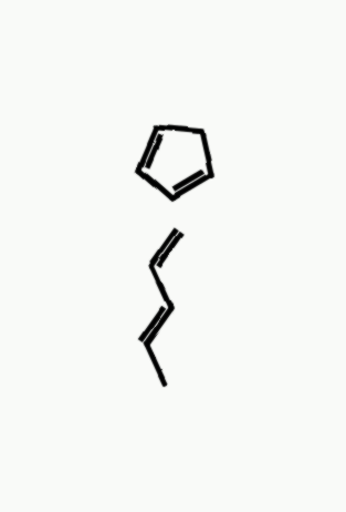 C1=CCC=C1.C=C/C=C/C